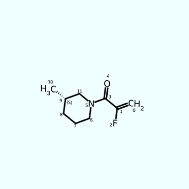 C=C(F)C(=O)N1CCC[C@H](C)C1